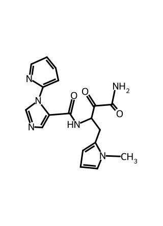 Cn1cccc1CC(NC(=O)c1cncn1-c1ccccn1)C(=O)C(N)=O